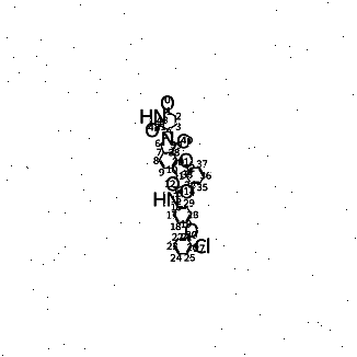 O=C1CCC(N2Cc3ccc(COC(=O)Nc4ccc(Oc5ccccc5Cl)cc4)c(Oc4ccccc4)c3C2=O)C(=O)N1